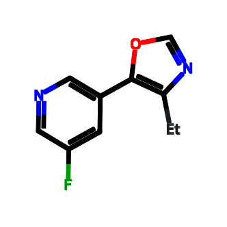 CCc1ncoc1-c1cncc(F)c1